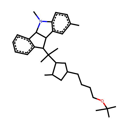 Cc1ccc2c(c1)C1C(c3ccccc3C1C(C)(C)C1CC(CCCCOC(C)(C)C)CC1C)N2C